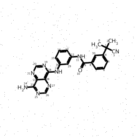 CC(C)(C#N)c1cccc(C(=O)Nc2cccc(Nc3ncnc4c(N)ncnc34)c2)c1